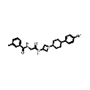 [C-]#[N+]c1ccc(C2CCC(N3CC(NC(=O)CNC(=O)c4cccc(C)c4)C3)CC2)cc1